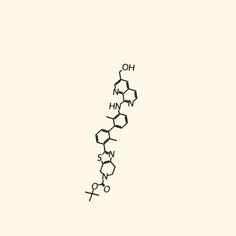 Cc1c(Nc2nccc3cc(CO)cnc23)cccc1-c1cccc(-c2nc3c(s2)CN(C(=O)OC(C)(C)C)CC3)c1C